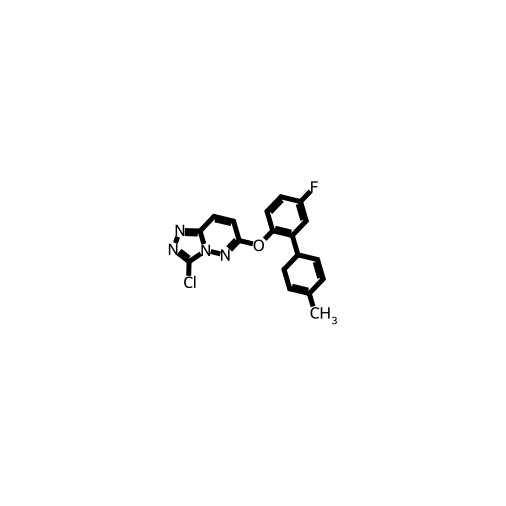 CC1=CCC(c2cc(F)ccc2Oc2ccc3nnc(Cl)n3n2)C=C1